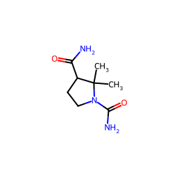 CC1(C)C(C(N)=O)CCN1C(N)=O